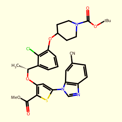 COC(=O)c1sc(-n2cnc3ccc(C#N)cc32)cc1O[C@H](C)c1cccc(OC2CCN(C(=O)OC(C)(C)C)CC2)c1Cl